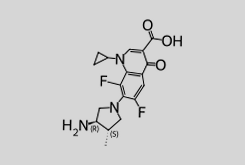 C[C@H]1CN(c2c(F)cc3c(=O)c(C(=O)O)cn(C4CC4)c3c2F)C[C@@H]1N